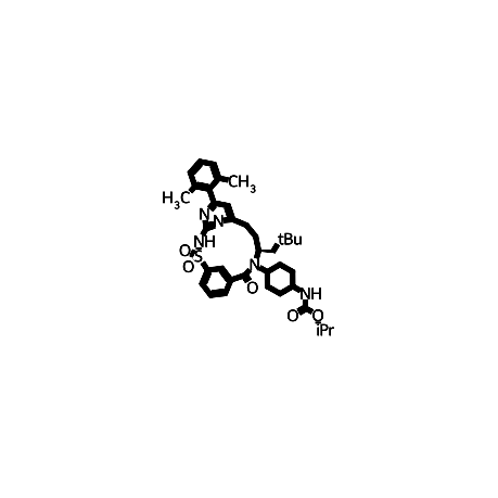 Cc1cccc(C)c1-c1cc2nc(n1)NS(=O)(=O)c1cccc(c1)C(=O)N(C1CCC(NC(=O)OC(C)C)CC1)[C@H](CC(C)(C)C)CC2